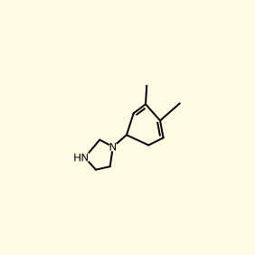 CC1=CCC(N2CCNC2)C=C1C